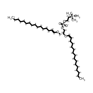 CCCCCCCCCCCCCCC=COC[C@H](COP(=O)([O-])OCC[N+](C)(C)C)O/C=C\CCCCCCCCCCCCCC